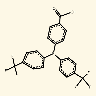 O=C(O)c1ccc(P(c2ccc(C(F)(F)F)cc2)c2ccc(C(F)(F)F)cc2)cc1